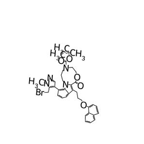 Cn1ncc(-c2cccc3c(CCCOc4cccc5ccccc45)c4n(c23)CCCN(C(=O)OC(C)(C)C)CCOC4=O)c1CBr